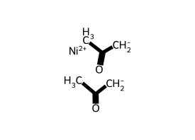 [CH2-]C(C)=O.[CH2-]C(C)=O.[Ni+2]